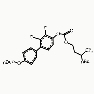 CCCCCCCCCCOc1ccc(-c2ccc(OC(=O)OCCC(CCCC)C(F)(F)F)c(F)c2F)cc1